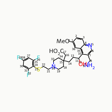 COc1ccc2ncc(CN)c(C(O)CCC3(CC(=O)O)CCN(CCSc4c(F)cc(F)cc4F)CC3)c2c1